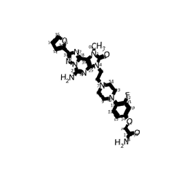 Cn1c(=O)n(CCN2CCN(c3ccc(OCC(N)=O)cc3F)CC2)c2nc(N)n3nc(-c4ccco4)nc3c21